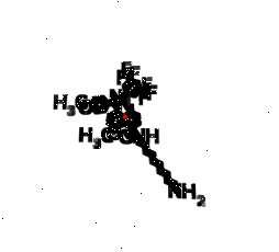 COc1ccc(-c2nc(-c3cc(C(F)(F)F)cc(C(F)(F)F)c3)n(Cc3ccc(C(=O)NCCCCCCCCCCN)cc3)c2-c2ccc(OC)cc2)cc1